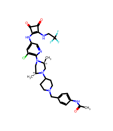 CC(=O)Nc1ccc(CN2CCC(N3C[C@H](C)N(c4ncc(Nc5c(NCC(F)(F)F)c(=O)c5=O)cc4Cl)C[C@H]3C)CC2)cc1